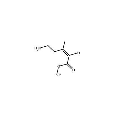 CCCOC(=O)C(CC)=C(C)CCN